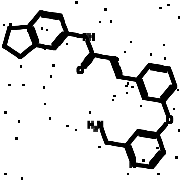 NCc1cc(Oc2cccc(C=CC(=O)Nc3ccc4c(c3)CCC4)c2)ccn1